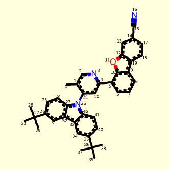 Cc1cnc(-c2cccc3c2oc2cc(C#N)ccc23)cc1-n1c2ccc(C(C)(C)C)cc2c2cc(C(C)(C)C)ccc21